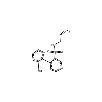 C=CCNS(=O)(=O)c1ccccc1-c1ccccc1O